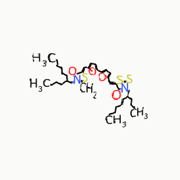 C=c1s/c(=C\c2ccc(-c3ccc(/C=C4\SC(=S)N(CC(CCCC)CCCCCC)C4=O)o3)o2)c(=O)n1CC(CCCC)CCCCCC